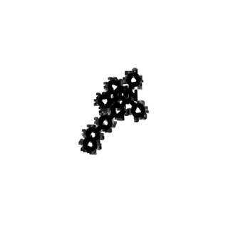 c1ccc(-c2nc(-c3ccccc3)c3c(n2)C2(c4ccccc4-c4ccccc42)c2cc(-c4ccc(-c5ccc6ccccc6c5)cc4)ccc2-3)cc1